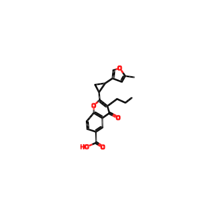 CCCc1c(C2CC2c2coc(C)c2)oc2ccc(C(=O)O)cc2c1=O